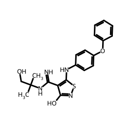 CC(C)(CO)NC(=N)c1c(O)nsc1Nc1ccc(Oc2ccccc2)cc1